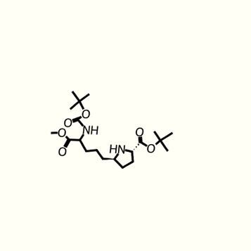 COC(=O)C(CCC[C@@H]1CC[C@@H](C(=O)OC(C)(C)C)N1)NC(=O)OC(C)(C)C